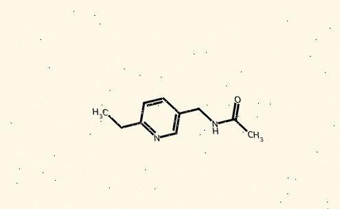 CCc1ccc(CNC(C)=O)cn1